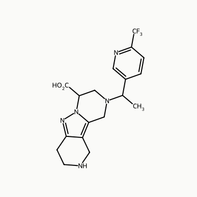 CC(c1ccc(C(F)(F)F)nc1)N1Cc2c3c(nn2C(C(=O)O)C1)CCNC3